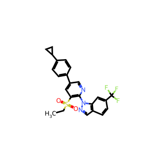 CCS(=O)(=O)c1cc(-c2ccc(C3CC3)cc2)cnc1-n1ncc2ccc(C(F)(F)F)cc21